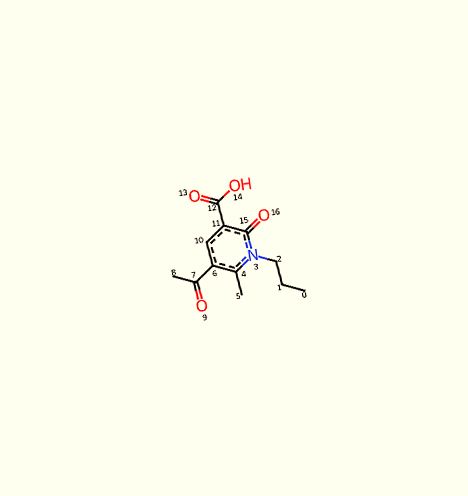 CCCn1c(C)c(C(C)=O)cc(C(=O)O)c1=O